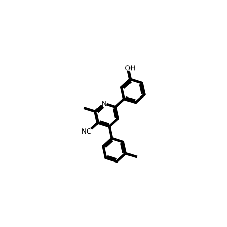 Cc1cccc(-c2cc(-c3cccc(O)c3)nc(C)c2C#N)c1